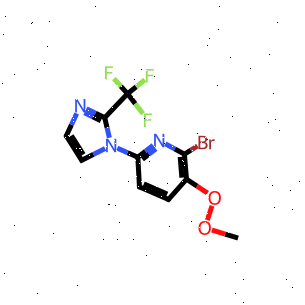 COOc1ccc(-n2ccnc2C(F)(F)F)nc1Br